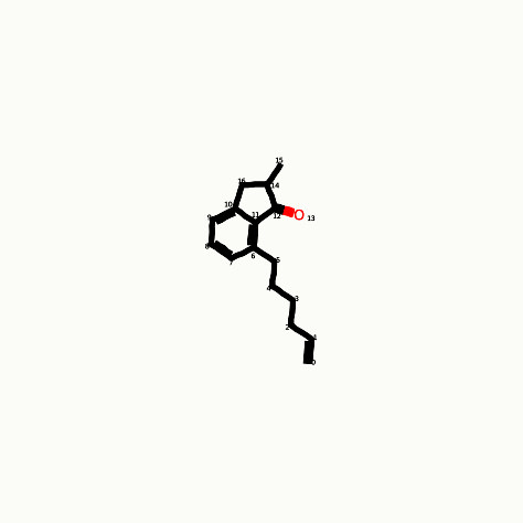 C=CCCCCc1cccc2c1C(=O)C(C)C2